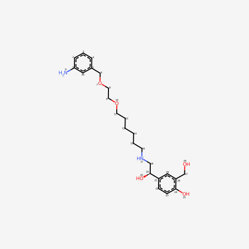 Nc1cccc(COCCOCCCCCCNC[C@H](O)c2ccc(O)c(CO)c2)c1